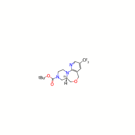 CC(C)(C)OC(=O)N1CCN2c3ncc(C(F)(F)F)cc3COC[C@@H]2C1